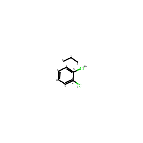 CCC.Clc1ccccc1Cl